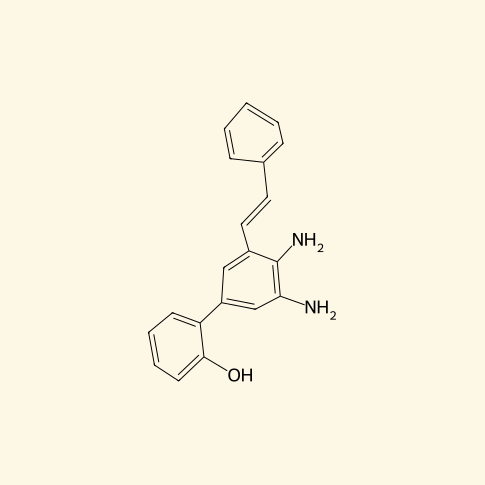 Nc1cc(-c2ccccc2O)cc(C=Cc2ccccc2)c1N